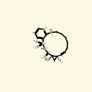 N[C@]12C[C@H]1/C=C\CCCCCNc1ncccc1S(=O)(=O)NC2=O